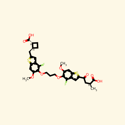 COc1cc2sc(C[C@@H]3CC[C@H]3C(=O)O)cc2c(F)c1OCCCOc1c(OC)cc2sc(C(=O)C[C@H](C)C(=O)O)cc2c1F